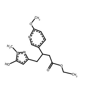 CCOC(=O)CC(Cc1cc(O)n(C)n1)c1ccc(OC)nc1